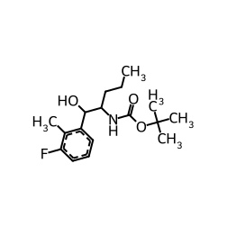 CCCC(NC(=O)OC(C)(C)C)C(O)c1cccc(F)c1C